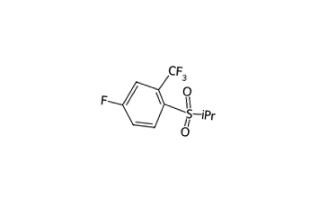 CC(C)S(=O)(=O)c1ccc(F)cc1C(F)(F)F